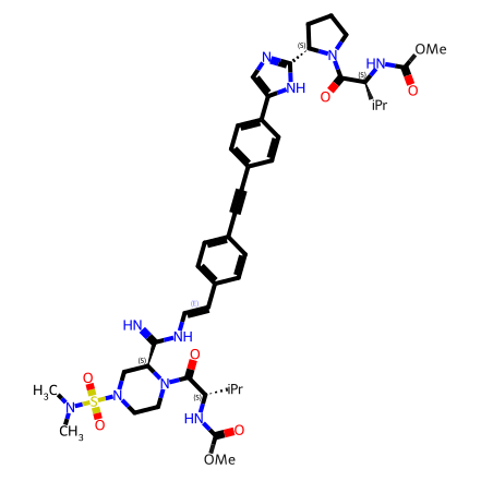 COC(=O)N[C@H](C(=O)N1CCN(S(=O)(=O)N(C)C)C[C@H]1C(=N)N/C=C/c1ccc(C#Cc2ccc(-c3cnc([C@@H]4CCCN4C(=O)[C@@H](NC(=O)OC)C(C)C)[nH]3)cc2)cc1)C(C)C